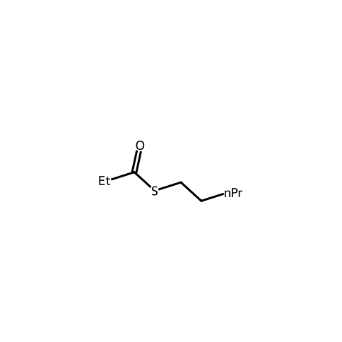 CCCCCSC(=O)CC